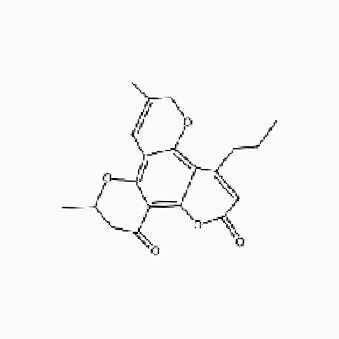 CCCc1cc(=O)oc2c3c(c4c(c12)OCC(C)=C4)OC(C)CC3=O